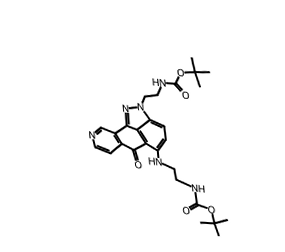 CC(C)(C)OC(=O)NCCNc1ccc2c3c(nn2CCNC(=O)OC(C)(C)C)-c2cnccc2C(=O)c13